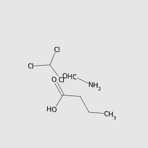 CCCC(=O)O.ClC(Cl)Cl.NC=O